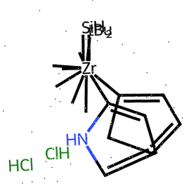 C[C](C)(C)[Zr]([CH3])([CH3])([CH3])([CH3])([CH3])([CH3])(=[SiH2])([C]1=CC=CC1)[c]1ccc[nH]1.Cl.Cl